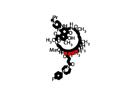 CO[C@H]1/C=C/OC2(C)Oc3c(C)c(O)c4c(c3C2=O)C2=NC3(CCN(CC(C)C)CC3)NC2=C(NC(=O)/C(C)=C\C=C\[C@H](C)[C@H](O)[C@@H](C)[C@@H](O)[C@@H](C)[C@H](OC(=O)CCC(=O)N2CCCN(c3ccc(F)cc3)CC2)[C@@H]1C)C4=O